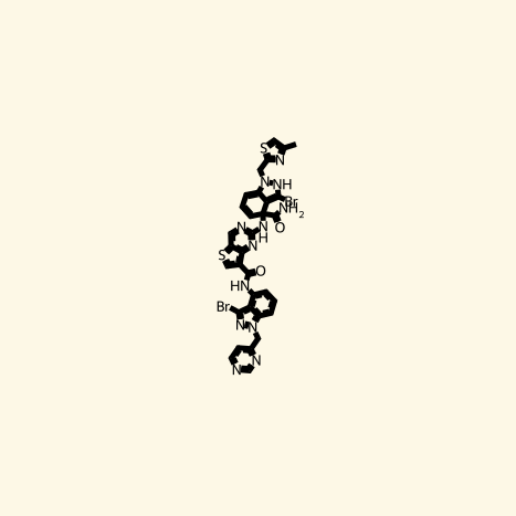 Cc1csc(CN2NC(Br)=C3C2=CC=CC3(Nc2ncc3scc(C(=O)Nc4cccc5c4c(Br)nn5Cc4ccncn4)c3n2)C(N)=O)n1